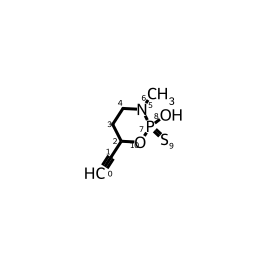 C#CC1CCN(C)P(O)(=S)O1